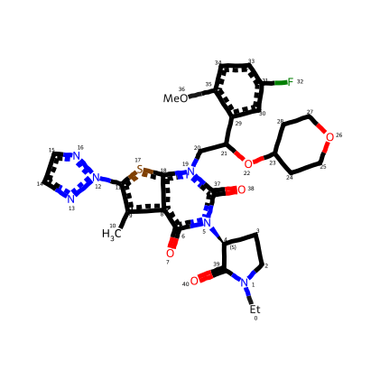 CCN1CC[C@H](n2c(=O)c3c(C)c(-n4nccn4)sc3n(CC(OC3CCOCC3)c3cc(F)ccc3OC)c2=O)C1=O